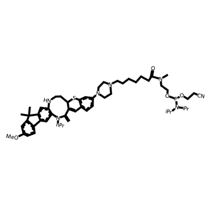 C=C1C2=Cc3ccc(N4CCN(CCCCCCC(=O)N(C)CCOP(OCCC#N)N(C(C)C)C(C)C)CC4)cc3SC2CCNc2cc3c(cc2N1CCC)-c1ccc(OC)cc1C3(C)C